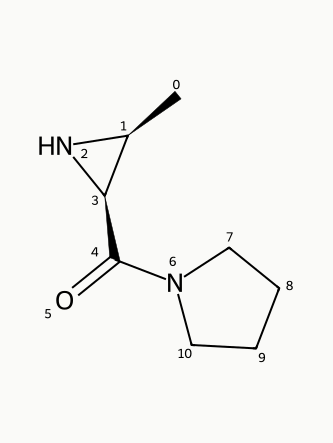 C[C@@H]1N[C@@H]1C(=O)N1CCCC1